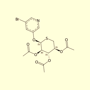 CC(=O)O[C@@H]1[C@@H](OC(C)=O)[C@@H](Oc2cncc(Br)c2)SC[C@H]1OC(C)=O